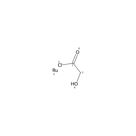 O=C(Cl)CO.[Ru]